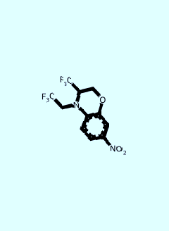 O=[N+]([O-])c1ccc2c(c1)OCC(C(F)(F)F)N2CC(F)(F)F